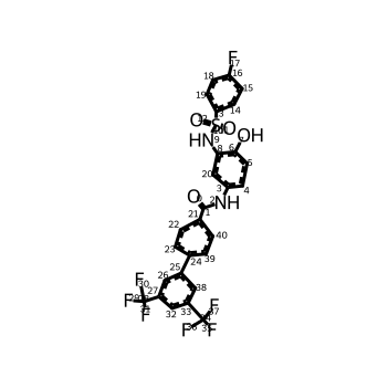 O=C(Nc1ccc(O)c(NS(=O)(=O)c2ccc(F)cc2)c1)c1ccc(-c2cc(C(F)(F)F)cc(C(F)(F)F)c2)cc1